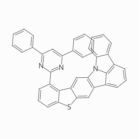 c1ccc(-c2cc(-c3ccccc3)nc(-c3cccc4sc5cc6c7cccc8c9ccccc9n(c6cc5c34)c87)n2)cc1